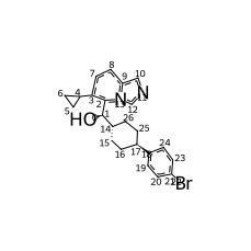 O[C@@H](c1c(C2CC2)ccc2cncn12)[C@H]1CC[C@H](c2ccc(Br)cc2)CC1